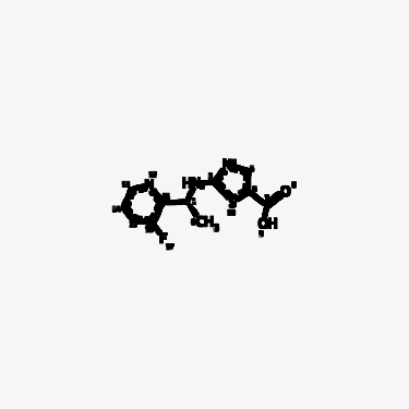 C[C@H](Nc1ncc(C(=O)O)s1)c1ncccc1F